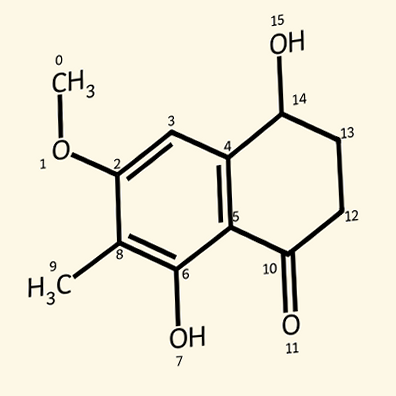 COc1cc2c(c(O)c1C)C(=O)CCC2O